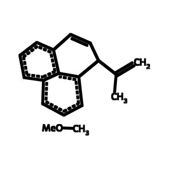 C=C(C)C1C=Cc2cccc3cccc1c23.COC